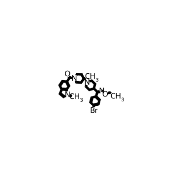 CCON=C(c1ccc(Br)cc1)C1CCN(C2(C)CCN(C(=O)c3ccc4ccn(C)c4c3)CC2)CC1